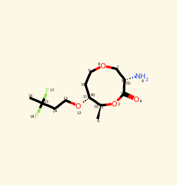 C[C@@H]1OC(=O)[C@@H](N)COCC[C@H]1OCCC(C)(F)F